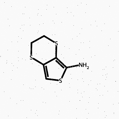 Nc1scc2c1SCCS2